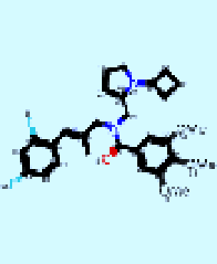 COc1cc(C(=O)N(C/C(C)=C/c2ccc(F)cc2F)C[C@H]2CCCN2C2CCC2)cc(OC)c1OC